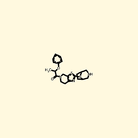 CC(Oc1ccccc1)C(=O)N1CCc2nc(N3C4CCC3CNC4)sc2C1